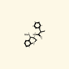 CN[C@@H]1c2ccccc2OC[C@H]1NC(=O)C(C)c1ccccc1